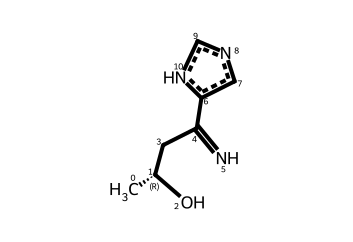 C[C@@H](O)CC(=N)c1cnc[nH]1